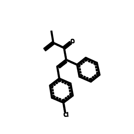 C=C(C)C(=O)/C(=C/c1ccc(Cl)cc1)c1ccccc1